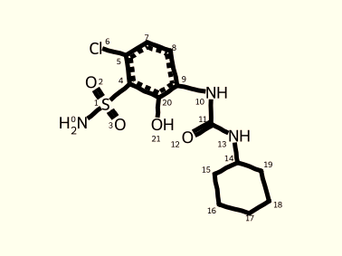 NS(=O)(=O)c1c(Cl)ccc(NC(=O)NC2CCCCC2)c1O